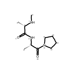 CN[C@@H](C)C(=O)N[C@@H](C)C(=O)N1CCCC1